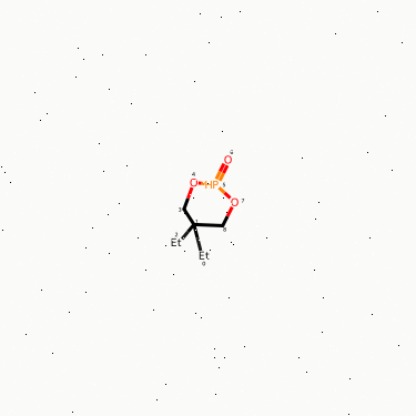 CCC1(CC)CO[PH](=O)OC1